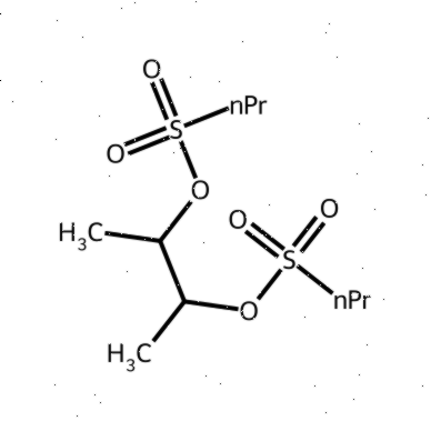 CCCS(=O)(=O)OC(C)C(C)OS(=O)(=O)CCC